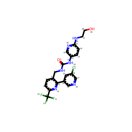 O=C(NCc1ccc(C(F)(F)F)nc1-c1cncc(Cl)c1)Nc1ccc(NCCO)nc1